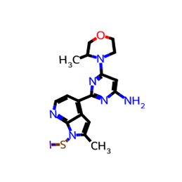 Cc1cc2c(-c3nc(N)cc(N4CCOCC4C)n3)ccnc2n1SI